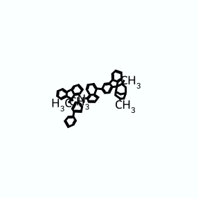 CC1CC2CC(C)C3(c4ccccc4-c4cc(-c5cccc6c(N(c7ccc(-c8ccccc8)cc7)c7cccc8c7C(C)(C)c7ccccc7-8)cccc56)ccc43)C(C1)C2